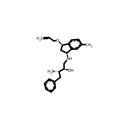 C=CCO[C@@H]1C[C@H](NC[C@@H](O)[C@@H](N)Cc2ccccc2)c2cc(C)ccc21